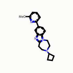 COc1cccc(-c2ccc3c(c2)nc2n3CCN(C3CCC3)CC2)n1